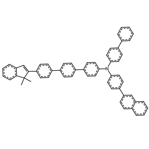 CC1(C)C(c2ccc(-c3ccc(-c4ccc(N(c5ccc(-c6ccccc6)cc5)c5ccc(-c6ccc7ccccc7c6)cc5)cc4)cc3)cc2)=Cc2ccccc21